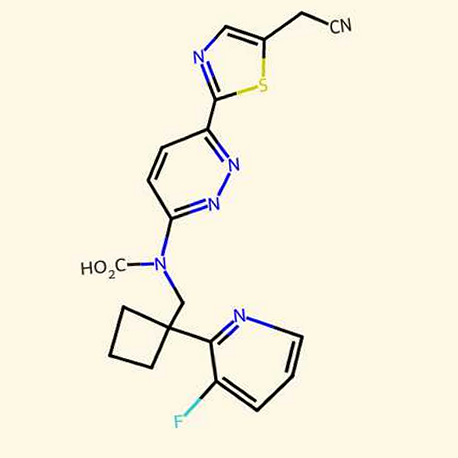 N#CCc1cnc(-c2ccc(N(CC3(c4ncccc4F)CCC3)C(=O)O)nn2)s1